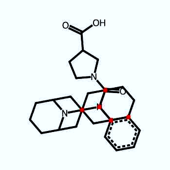 O=C(O)C1CCN(C(=O)N(c2ccccc2)C2CC3CCCC(C2)N3C2CC3CCCC(C3)C2)C1